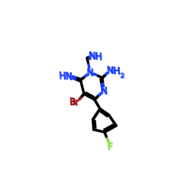 N=Cn1c(N)nc(-c2ccc(F)cc2)c(Br)c1=N